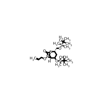 C=CCON1C(=O)N2C[C@H]1C(O[Si](C)(C)C(C)(C)C)C[C@H]2CO[Si](C)(C)C(C)(C)C